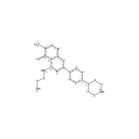 Cn1cnc2cc(-c3ccc(C4CCNCC4)cc3)nc(NCCO)c2c1=O